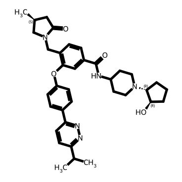 CC(C)c1ccc(-c2ccc(Oc3cc(C(=O)NC4CCN([C@@H]5CCC[C@H]5O)CC4)ccc3CN3C[C@@H](C)CC3=O)cc2)nn1